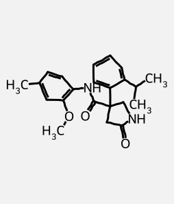 COc1cc(C)ccc1NC(=O)C1(c2ccccc2C(C)C)CNC(=O)C1